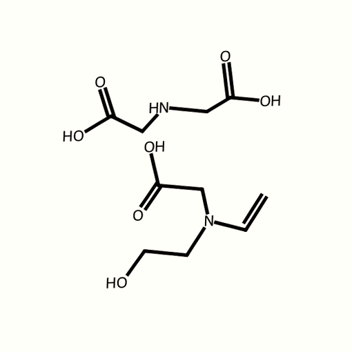 C=CN(CCO)CC(=O)O.O=C(O)CNCC(=O)O